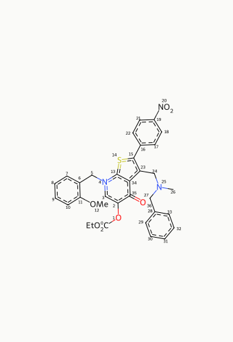 CCOC(=O)Oc1cn(Cc2ccccc2OC)c2sc(-c3ccc([N+](=O)[O-])cc3)c(CN(C)Cc3ccccc3)c2c1=O